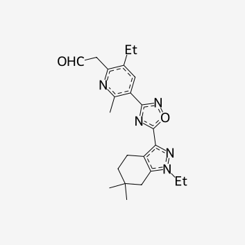 CCc1cc(-c2noc(-c3nn(CC)c4c3CCC(C)(C)C4)n2)c(C)nc1CC=O